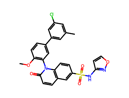 COc1ccc(-c2cc(C)cc(Cl)c2)cc1-n1c(=O)ccc2cc(S(=O)(=O)Nc3ccon3)ccc21